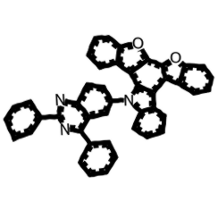 c1ccc(-c2nc(-c3ccccc3)c3cc(-n4c5ccccc5c5c6c7ccccc7oc6c6oc7ccccc7c6c54)ccc3n2)cc1